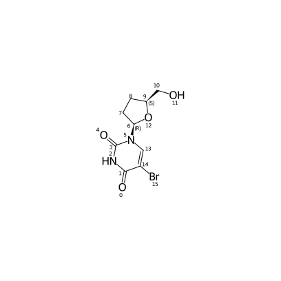 O=c1[nH]c(=O)n([C@H]2CC[C@@H](CO)O2)cc1Br